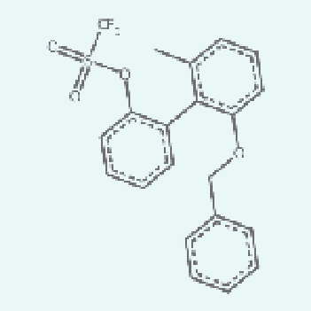 Cc1cccc(OCc2ccccc2)c1-c1ccccc1OS(=O)(=O)C(F)(F)F